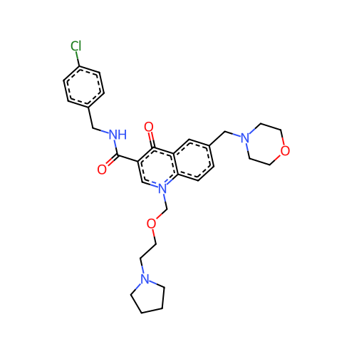 O=C(NCc1ccc(Cl)cc1)c1cn(COCCN2CCCC2)c2ccc(CN3CCOCC3)cc2c1=O